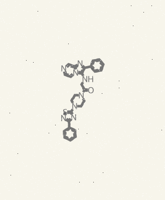 O=C(CNc1c(-c2ccccc2)nc2cnccn12)N1CCN(c2nc(-c3ccccc3)ns2)CC1